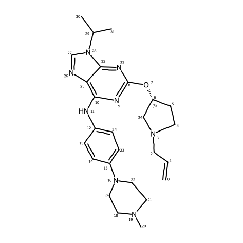 C=CCN1CC[C@@H](Oc2nc(Nc3ccc(N4CCN(C)CC4)cc3)c3ncn(C(C)C)c3n2)C1